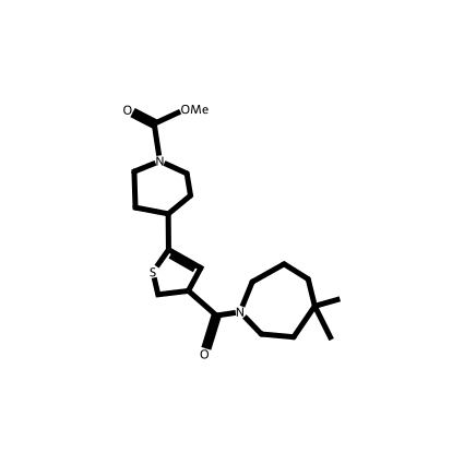 COC(=O)N1CCC(C2=CC(C(=O)N3CCCC(C)(C)CC3)CS2)CC1